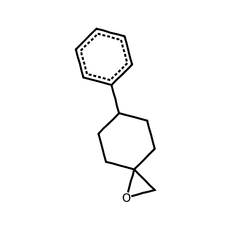 c1ccc(C2CCC3(CC2)CO3)cc1